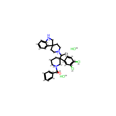 CCC(N1CCC2(CC1)CNc1ccccc12)C1(c2ccc(Cl)c(Cl)c2)CCCN(C(=O)c2ccccc2)C1.Cl.Cl